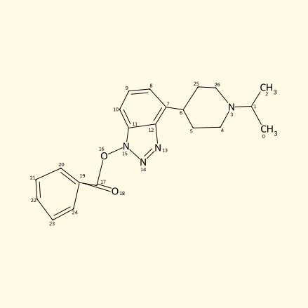 CC(C)N1CCC(c2cccc3c2nnn3OC(=O)c2ccccc2)CC1